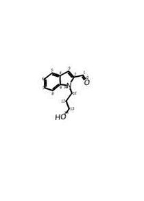 O=Cc1cc2ccccc2n1CCCO